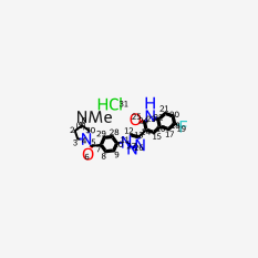 CN[C@H]1CCN(C(=O)c2ccc(-n3cc(-c4cc5cc(F)ccc5[nH]c4=O)nn3)cc2)C1.Cl